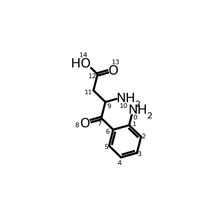 Nc1ccccc1C(=O)C(N)CC(=O)O